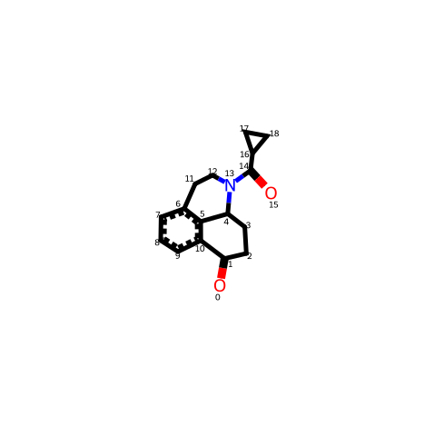 O=C1CCC2c3c(cccc31)CCN2C(=O)C1CC1